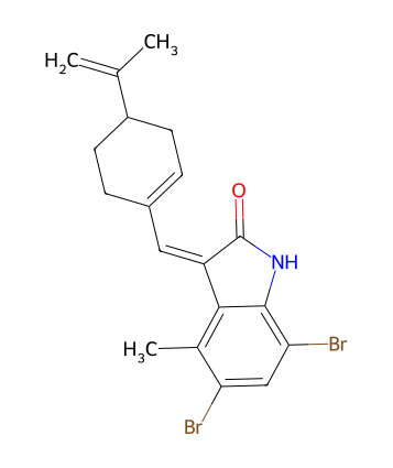 C=C(C)C1CC=C(C=C2C(=O)Nc3c(Br)cc(Br)c(C)c32)CC1